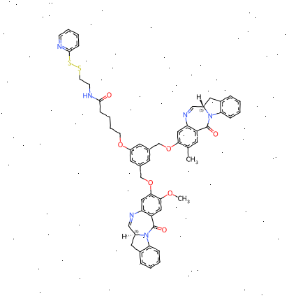 COc1cc2c(cc1OCc1cc(COc3cc4c(cc3C)C(=O)N3c5ccccc5C[C@H]3C=N4)cc(OCCCCC(=O)NCCSSc3ccccn3)c1)N=C[C@@H]1Cc3ccccc3N1C2=O